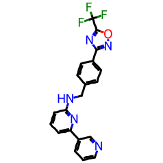 FC(F)(F)c1nc(-c2ccc(CNc3cccc(-c4cccnc4)n3)cc2)no1